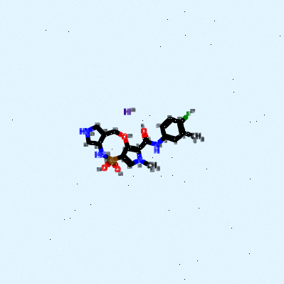 Cc1cc(NC(=O)c2c3c(cn2C)S(=O)(=O)NC2CNCC2CO3)ccc1F.I